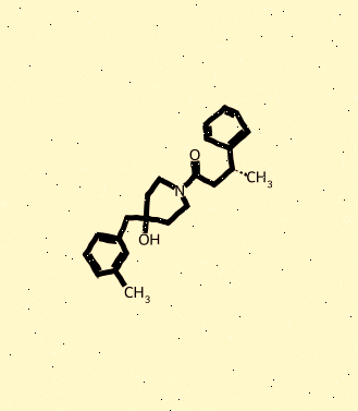 Cc1[c]ccc(CC2(O)CCN(C(=O)C[C@@H](C)c3ccccc3)CC2)c1